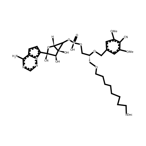 CCCCCCCCCCCCCCCCCCOC[C@H](COP(=O)(O)OC1[C@H]2O[C@@](C#N)(c3ccc4c(N)ncnn34)[C@H](O)[C@@]12O)OCc1cc(OC)c(C#N)c(OC)c1